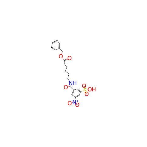 O=C(CCCCCNC(=O)c1cc([N+](=O)[O-])cc(S(=O)(=O)O)c1)OCc1ccccc1